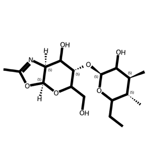 CCC1O[C@@H](O[C@@H]2C(CO)O[C@H]3OC(C)=N[C@H]3C2O)C(O)[C@@H](C)[C@@H]1C